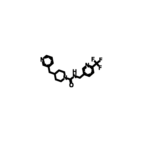 O=C(NCc1ccc(C(F)(F)F)nc1)N1CCC(Cc2cccnc2)CC1